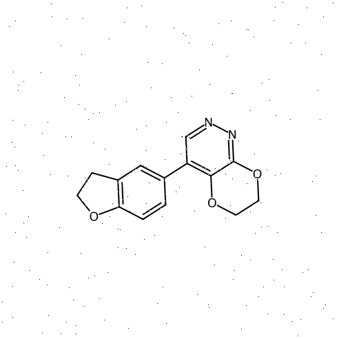 [c]1nnc2c(c1-c1ccc3c(c1)CCO3)OCCO2